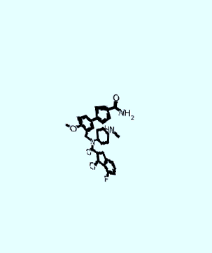 CN[C@H]1CC[C@@H](N(Cc2cc(-c3ccc(C(N)=O)cc3)ccc2OC)C(=O)C2=C(Cl)c3c(F)cccc3C2)CC1